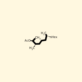 CCCCCC[C@@H](C)CCC[C@H](C)[C@H](C)OC(C)=O